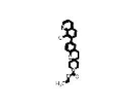 CCOC(=O)N1CCC2(CCc3cc(-c4ccc5cccnc5c4Cl)ccc3O2)CC1